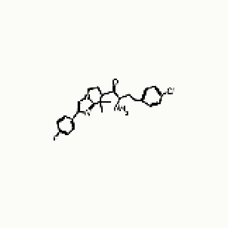 CC1(C)c2nc(-c3ccc(F)cc3)cn2CCC1C(=O)C(N)CCc1ccc(Cl)cc1